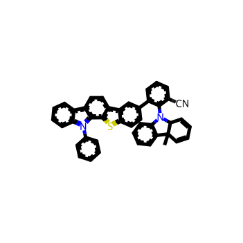 CC12C=CC=CC1N(c1c(C#N)cccc1-c1ccc3sc4c(ccc5c6ccccc6n(-c6ccccc6)c54)c3c1)c1ccccc12